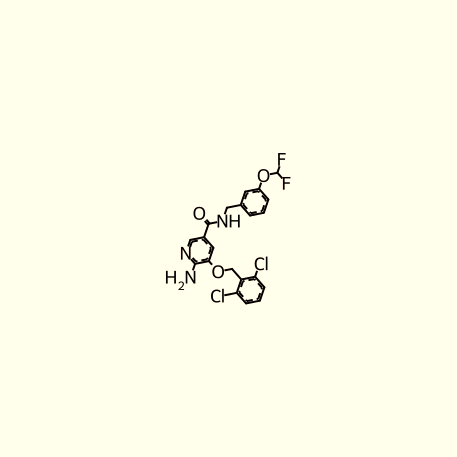 Nc1ncc(C(=O)NCc2cccc(OC(F)F)c2)cc1OCc1c(Cl)cccc1Cl